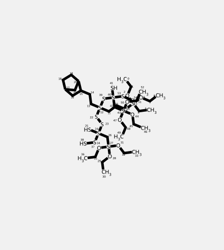 CCO[Si](CC)(OCC)OCCS(CCC1CC2CCC1C2)(SSS(S)(C[Si](OCC)(OCC)OCC)SS)SS(S)(C[Si](OCC)(OCC)OCC)SS